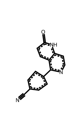 N#Cc1ccc(-c2nccc3[nH]c(=O)ccc23)cc1